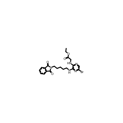 CCOC(=O)CNc1ncc(Br)nc1NCCCCCN1C(=O)c2ccccc2C1=O